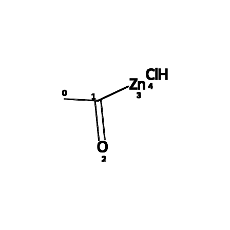 C[C](=O)[Zn].Cl